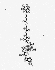 CC(C)(COP(=O)(O)OP(=O)(O)OC[C@H]1O[C@@H](n2cnc3c(N)ncnc32)[C@H](O)[C@@H]1OP(=O)(O)O)[C@@H](O)C(=O)NCCC(=O)NCCSC(=O)CCCC[C@@H]1SC[C@@H]2NC(=O)N[C@@H]21